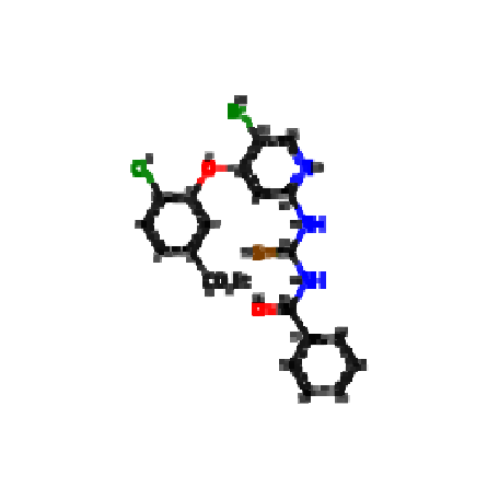 CCOC(=O)c1ccc(Cl)c(Oc2cc(NC(=S)NC(=O)c3ccccc3)ncc2Br)c1